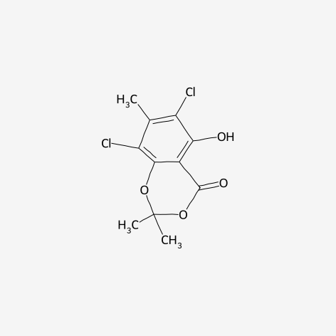 Cc1c(Cl)c(O)c2c(c1Cl)OC(C)(C)OC2=O